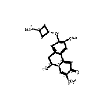 COc1cc2c(cc1O[C@H]1C[C@H](OC)C1)CC(C(C)(C)C)n1cc(C(=O)O)c(=O)cc1-2